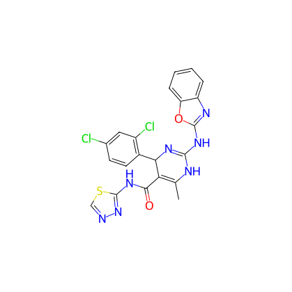 CC1=C(C(=O)Nc2nncs2)C(c2ccc(Cl)cc2Cl)N=C(Nc2nc3ccccc3o2)N1